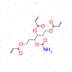 C=CC(=O)OCCC(OC(N)=O)C(CCOC(=O)C=C)OC(=O)C=C